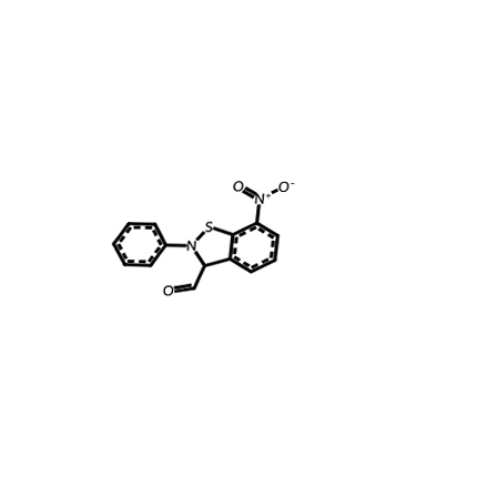 O=CC1c2cccc([N+](=O)[O-])c2SN1c1ccccc1